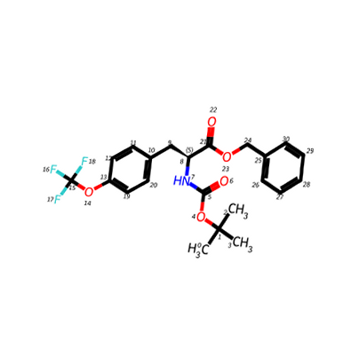 CC(C)(C)OC(=O)N[C@@H](Cc1ccc(OC(F)(F)F)cc1)C(=O)OCc1ccccc1